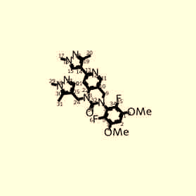 COc1cc(OC)c(F)c(N2Cc3cnc(-c4cn(C)nc4C)cc3N(Cc3cnn(C)c3C)C2=O)c1F